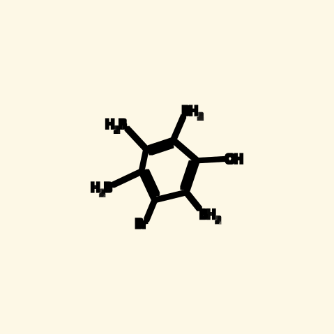 Bc1c(B)c(O)c(B)c(Br)c1B